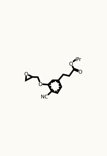 CC(C)OC(=O)CCc1ccc(C#N)c(OCC2CO2)c1